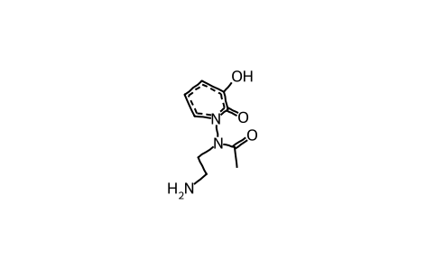 CC(=O)N(CCN)n1cccc(O)c1=O